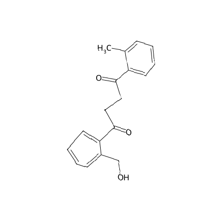 Cc1ccccc1C(=O)CCC(=O)c1ccccc1CO